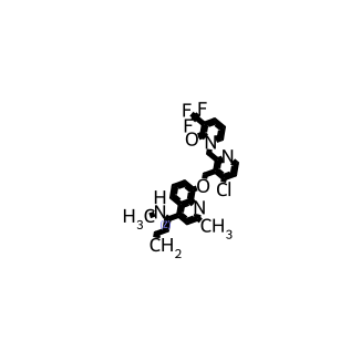 C=C/C=C(\NC)c1cc(C)nc2c(OCc3c(Cl)ccnc3Cn3cccc(C(F)(F)F)c3=O)cccc12